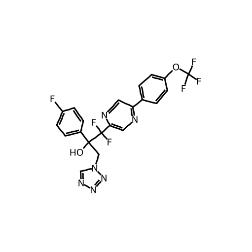 OC(Cn1cnnn1)(c1ccc(F)cc1)C(F)(F)c1cnc(-c2ccc(OC(F)(F)F)cc2)cn1